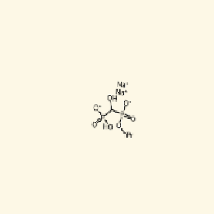 CC(C)OP(=O)([O-])C(O)P(=O)([O-])O.[Na+].[Na+]